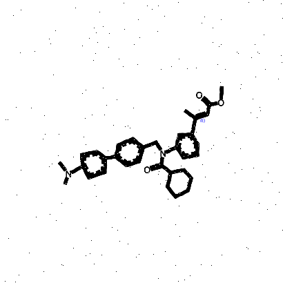 COC(=O)/C=C(\C)c1cccc(N(Cc2ccc(-c3ccc(N(C)C)cc3)cc2)C(=O)C2CCCCC2)c1